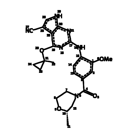 COc1cc(C(=O)N2CCO[C@@H](C)C2)ccc1Nc1nc(OC2(C)CC2)c2c(C#N)c[nH]c2n1